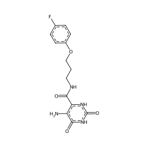 Nc1c(C(=O)NCCCOc2ccc(F)cc2)[nH]c(=O)[nH]c1=O